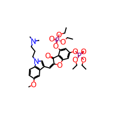 CCOP(=O)(OCC)Oc1cc2c(c(OP(=O)(OCC)OCC)c1)C(=O)C(=Cc1cn(CCCN(C)C)c3ccc(OC)cc13)O2